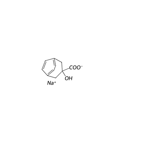 O=C([O-])C1(O)Cc2ccc(cc2)C1.[Na+]